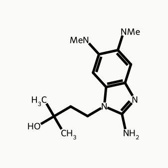 CNc1cc2nc(N)n(CCC(C)(C)O)c2cc1NC